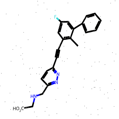 Cc1c(C#Cc2ccc(CNCC(=O)O)nn2)cc(F)cc1-c1ccccc1